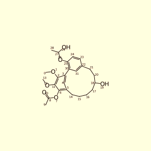 COc1c2cc(c(OC(C)=O)c1OC)CCCCC(O)CCc1ccc(OC(C)O)c-2c1